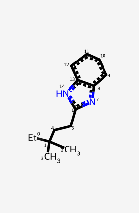 CCC(C)(C)CCc1nc2ccccc2[nH]1